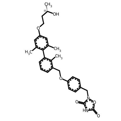 Cc1cc(OCC[C@H](C)O)cc(C)c1-c1cccc(COc2ccc(Cn3oc(=O)[nH]c3=O)cc2)c1C